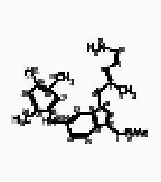 CNCc1cn(S/C(C)=C/C=C\N)c2cc(Nc3cc(C)c(Cl)cc3C)ccc12